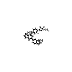 CC1(N)CC(c2ccc(Nc3nc(-c4ccc5cn[nH]c5c4)cn4ccnc34)cc2)C1